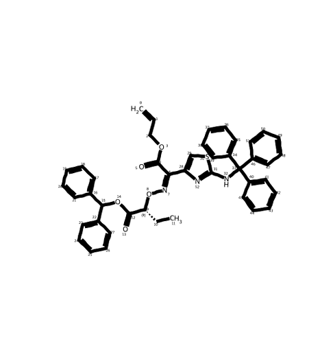 C=CCOC(=O)C(=NO[C@H](CC)C(=O)OC(c1ccccc1)c1ccccc1)c1csc(NC(c2ccccc2)(c2ccccc2)c2ccccc2)n1